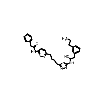 NCCc1cccc(CC(O)Nc2nnc(CCCCc3ccc(NC(=O)Cc4ccccc4)nn3)s2)c1